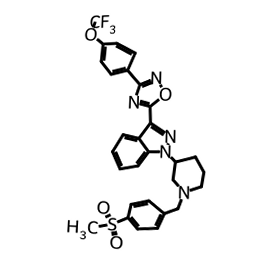 CS(=O)(=O)c1ccc(CN2CCCC(n3nc(-c4nc(-c5ccc(OC(F)(F)F)cc5)no4)c4ccccc43)C2)cc1